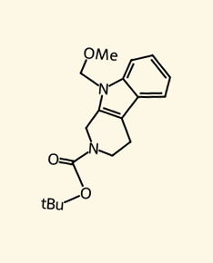 COCn1c2c(c3ccccc31)CCN(C(=O)OC(C)(C)C)C2